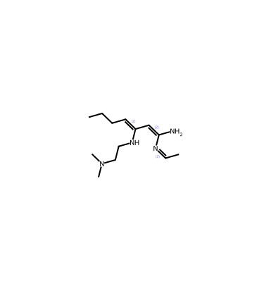 C\C=N/C(N)=C\C(=C\CCC)NCCN(C)C